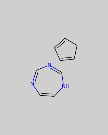 C1=CCC=C1.C1=CNC=NC=N1